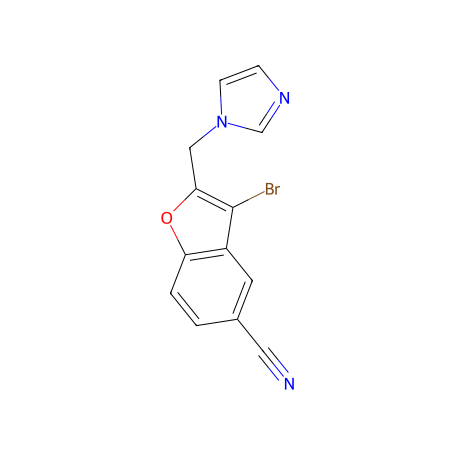 N#Cc1ccc2oc(Cn3ccnc3)c(Br)c2c1